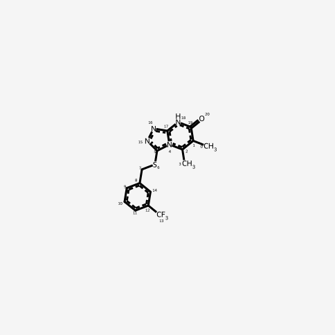 Cc1c(C)n2c(SCc3cccc(C(F)(F)F)c3)nnc2[nH]c1=O